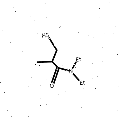 CCN(CC)C(=O)C(C)CS